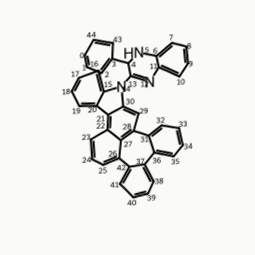 c1ccc(C2Nc3ccccc3N=C2n2c3ccccc3c3c4cccc5c4c(cc32)-c2ccccc2-c2ccccc2-5)cc1